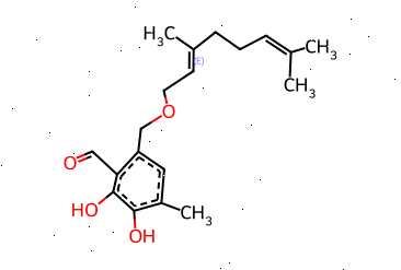 CC(C)=CCC/C(C)=C/COCc1cc(C)c(O)c(O)c1C=O